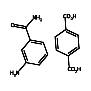 NC(=O)c1cccc(N)c1.O=C(O)c1ccc(C(=O)O)cc1